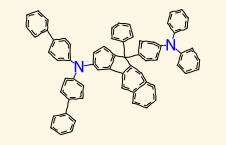 c1ccc(-c2ccc(N(c3ccc(-c4ccccc4)cc3)c3ccc4c(c3)-c3cc5ccccc5cc3C4(c3ccccc3)c3ccc(N(c4ccccc4)c4ccccc4)cc3)cc2)cc1